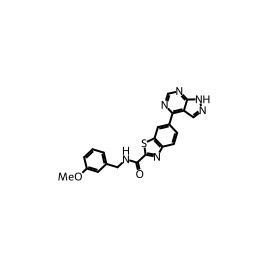 COc1cccc(CNC(=O)c2nc3ccc(-c4ncnc5[nH]ncc45)cc3s2)c1